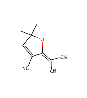 CC1(C)C=C(C#N)C(=C(C#N)C#N)O1